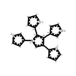 c1coc(-c2cn(-c3ccsc3)c(-c3cccs3)c2-c2ccoc2)c1